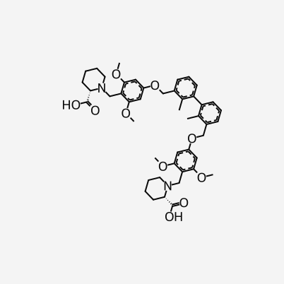 COc1cc(OCc2cccc(-c3cccc(COc4cc(OC)c(CN5CCCC[C@H]5C(=O)O)c(OC)c4)c3C)c2C)cc(OC)c1CN1CCCC[C@H]1C(=O)O